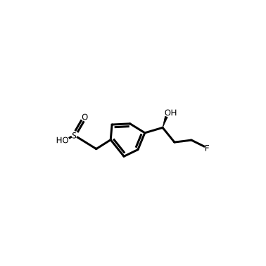 O=S(O)Cc1ccc([C@@H](O)CCF)cc1